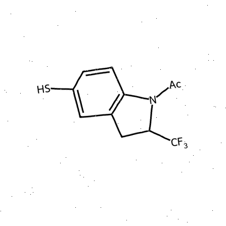 CC(=O)N1c2ccc(S)cc2CC1C(F)(F)F